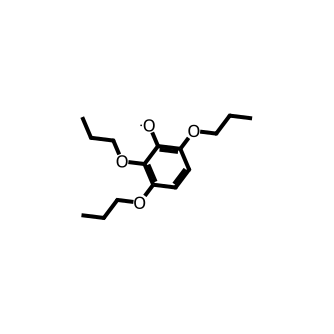 CCCOc1ccc(OCCC)c(OCCC)c1[O]